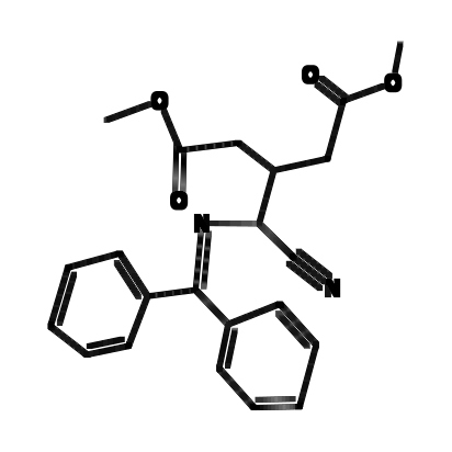 COC(=O)CC(CC(=O)OC)C(C#N)N=C(c1ccccc1)c1ccccc1